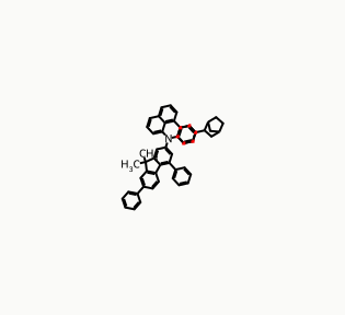 CC1(C)c2cc(-c3ccccc3)ccc2-c2c(-c3ccccc3)cc(N(c3ccc(C4CC5CCC4C5)cc3)c3cccc4cccc(C5CCCCC5)c34)cc21